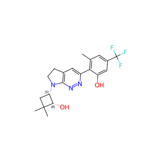 Cc1cc(C(F)(F)F)cc(O)c1-c1cc2c(nn1)N([C@H]1CC(C)(C)[C@H]1O)CC2